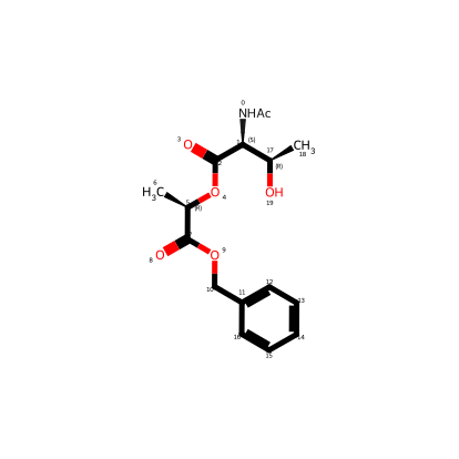 CC(=O)N[C@H](C(=O)O[C@H](C)C(=O)OCc1ccccc1)[C@@H](C)O